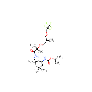 CC(COCC(F)(F)C(F)(F)F)COC(C)(C)C(=O)NCC1(C)CC(NC(=O)OC(C)C)CC(C)(C)C1